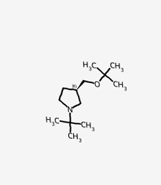 CC(C)(C)OC[C@@H]1CCN(C(C)(C)C)C1